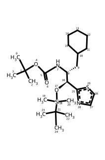 CC(C)(C)OC(=O)N[C@H](CC1CCCCC1)[C@H](O[Si](C)(C)C(C)(C)C)c1nccs1